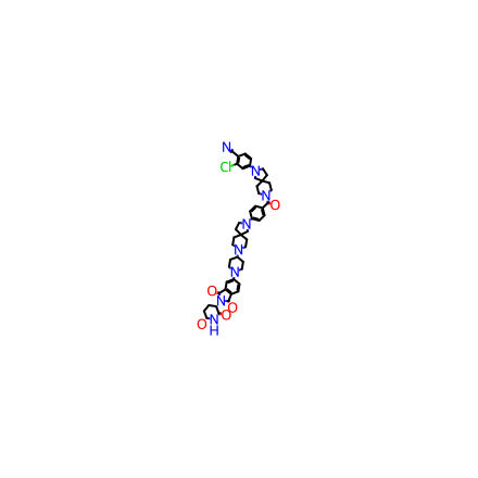 N#Cc1ccc(N2CCC3(CCN(C(=O)c4ccc(N5CCC6(CCN(C7CCN(c8ccc9c(c8)C(=O)N(C8CCC(=O)NC8=O)C9=O)CC7)CC6)C5)cc4)CC3)C2)cc1Cl